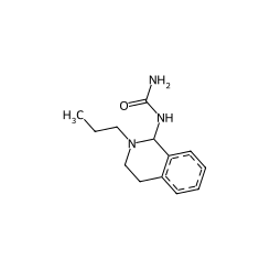 CCCN1CCc2ccccc2C1NC(N)=O